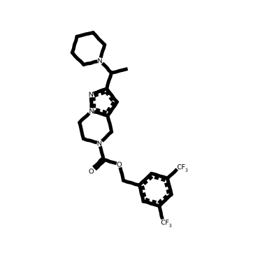 CC(c1cc2n(n1)CCN(C(=O)OCc1cc(C(F)(F)F)cc(C(F)(F)F)c1)C2)N1CCCCC1